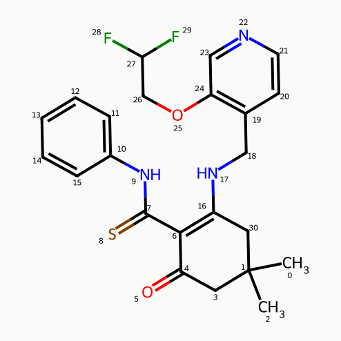 CC1(C)CC(=O)C(C(=S)Nc2ccccc2)=C(NCc2ccncc2OCC(F)F)C1